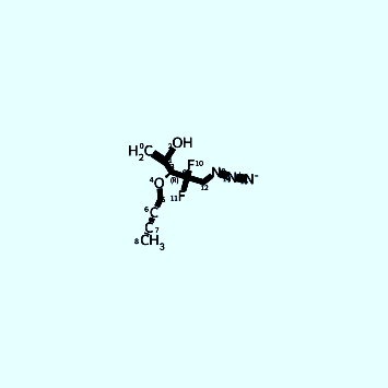 C=C(O)[C@@H](OCCCC)C(F)(F)CN=[N+]=[N-]